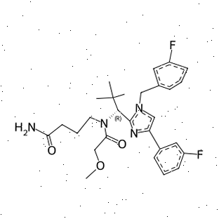 COCC(=O)N(CCCC(N)=O)[C@@H](c1nc(-c2cccc(F)c2)cn1Cc1cccc(F)c1)C(C)(C)C